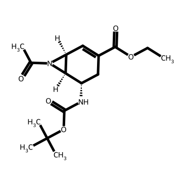 CCOC(=O)C1=C[C@H]2[C@@H]([C@@H](NC(=O)OC(C)(C)C)C1)N2C(C)=O